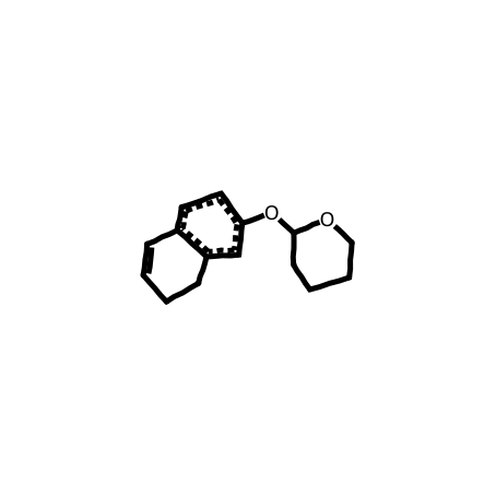 C1=Cc2ccc(OC3CCCCO3)cc2CC1